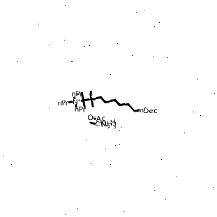 CC(=O)O.CC(=O)[O-].CCCCCCCCCCCCCCCCC(C)(C)C(C)(C)[N+](CCC)(CCC)CCC.N